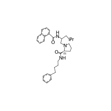 CC(C)CC(CN1CCC[C@H]1C(=O)NCCCCc1ccccc1)NC(=O)c1cccc2ccccc12